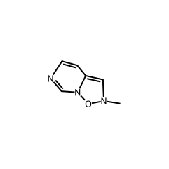 CN1C=C2C=CN=CN2O1